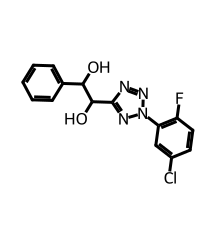 OC(c1ccccc1)C(O)c1nnn(-c2cc(Cl)ccc2F)n1